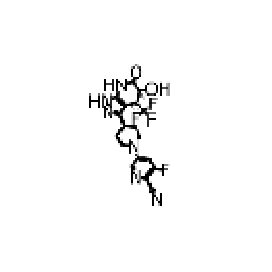 N#Cc1ncc(N2CCC(c3n[nH]c4c3[C@H](C(F)(F)F)[C@H](O)C(=O)N4)CC2)cc1F